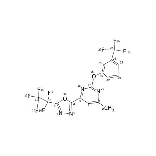 Cc1cc(-c2nnc(C(F)(F)C(F)(F)F)o2)nc(Oc2cccc(C(F)(F)F)c2)n1